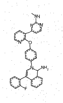 CNc1nccc(-c2cccnc2Oc2ccc(N3C=C(c4ccccc4F)c4ccccc4C3N)cc2)n1